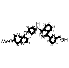 COc1cnc2c(Oc3ccc(Nc4nnc(-c5cccc(CO)n5)c5ccccc45)cc3)ccnc2c1